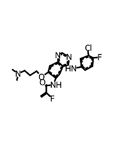 C=C(F)C(=O)Nc1cc2c(Nc3ccc(F)c(Cl)c3)ncnc2cc1OCCCN(C)C